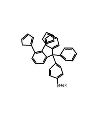 CCCCCCc1ccc(C(c2ccccc2)(c2ccccc2)c2cccc(C3=CC=CC3)c2C2=CC=CC2)cc1